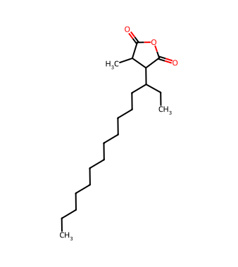 CCCCCCCCCCCCC(CC)C1C(=O)OC(=O)C1C